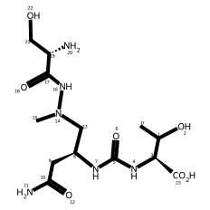 CC(O)[C@H](NC(=O)N[C@@H](CC(N)=O)CN(C)NC(=O)[C@@H](N)CO)C(=O)O